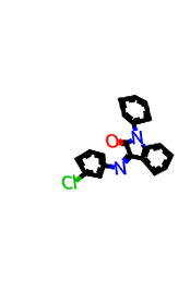 O=C1C(=Nc2cccc(Cl)c2)c2ccccc2N1c1ccccc1